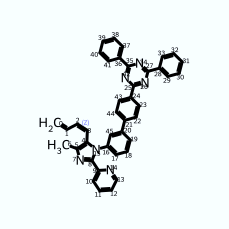 C=C/C=C\c1c(C)nc(-c2ccccn2)n1-c1cccc(-c2ccc(-c3nc(-c4ccccc4)nc(-c4ccccc4)n3)cc2)c1